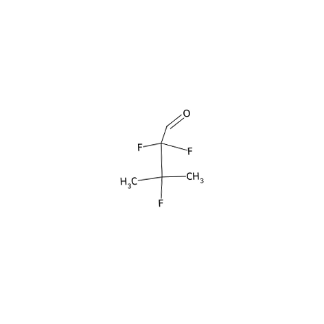 CC(C)(F)C(F)(F)C=O